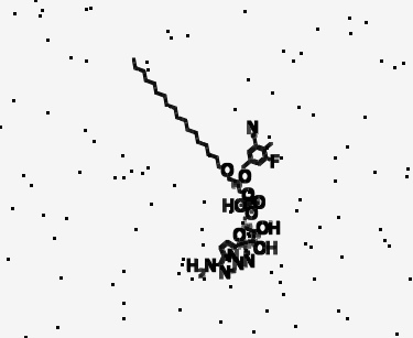 CCCCCCCCCCCCCCCCCCOC[C@H](COP(=O)(O)OC[C@H]1O[C@@](C#N)(c2ccc3c(N)ncnn23)[C@H](O)[C@@H]1O)OCc1cc(F)c(C)c(C#N)c1